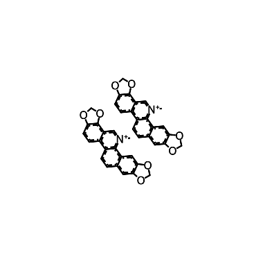 C[n+]1cc2c3c(ccc2c2ccc4cc5c(cc4c21)OCO5)OCO3.C[n+]1cc2c3c(ccc2c2ccc4cc5c(cc4c21)OCO5)OCO3